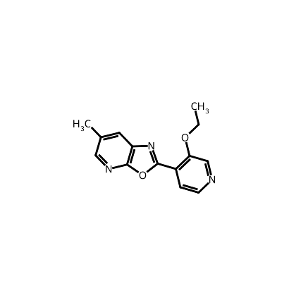 CCOc1cnccc1-c1nc2cc(C)cnc2o1